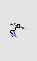 CC(=O)Oc1ccc([N+](=O)[O-])cc1/C=C/c1cccc(C)n1